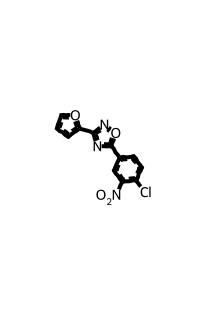 O=[N+]([O-])c1cc(-c2nc(-c3ccco3)no2)ccc1Cl